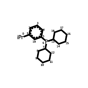 CC(C)c1cccc(P(C2CCCCC2)C2CCCCC2)c1